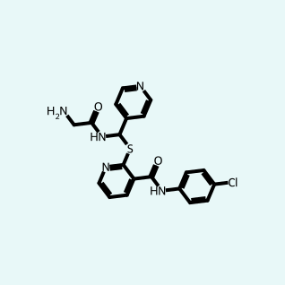 NCC(=O)NC(Sc1ncccc1C(=O)Nc1ccc(Cl)cc1)c1ccncc1